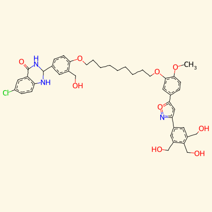 COc1ccc(-c2cc(-c3cc(CO)c(CO)c(CO)c3)no2)cc1OCCCCCCCCCOc1ccc(C2NC(=O)c3cc(Cl)ccc3N2)cc1CO